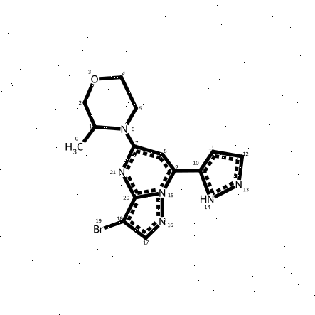 CC1COCCN1c1cc(-c2ccn[nH]2)n2ncc(Br)c2n1